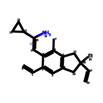 C=Cc1cc2c(c(C)c1/C=C(\N)C1CC1)CC(C=C)(CC)C2